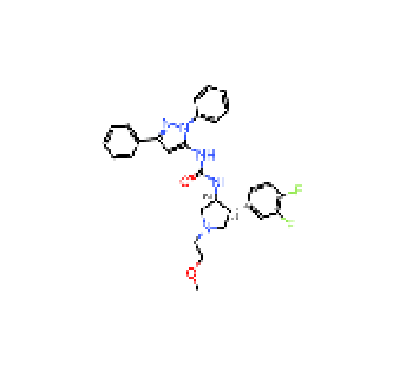 COCCN1C[C@@H](NC(=O)Nc2cc(-c3ccccc3)nn2-c2ccccc2)[C@H](c2ccc(F)c(F)c2)C1